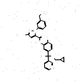 Cc1cc(C(=O)Nc2cc(C(O)(OCC3CC3)c3cccnc3)ccc2F)n(-c2cccc(CN)c2)n1